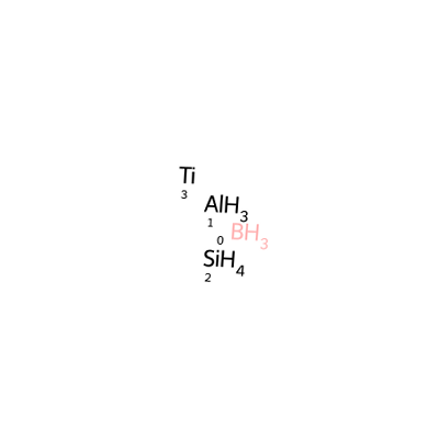 B.[AlH3].[SiH4].[Ti]